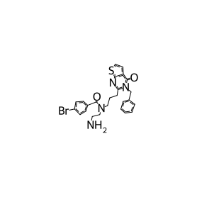 NCCN(CCCc1nc2sccc2c(=O)n1Cc1ccccc1)C(=O)c1ccc(Br)cc1